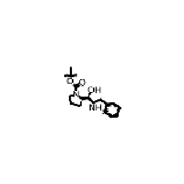 CC(C)(C)OC(=O)N1CCC[C@@H]1[C@@H](O)[C@H](N)Cc1ccccc1